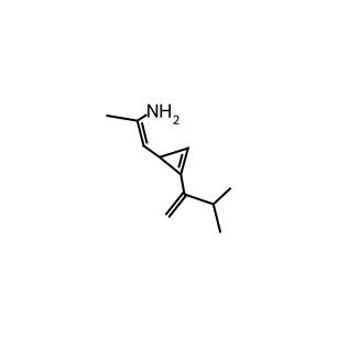 C=C(C1=CC1/C=C(/C)N)C(C)C